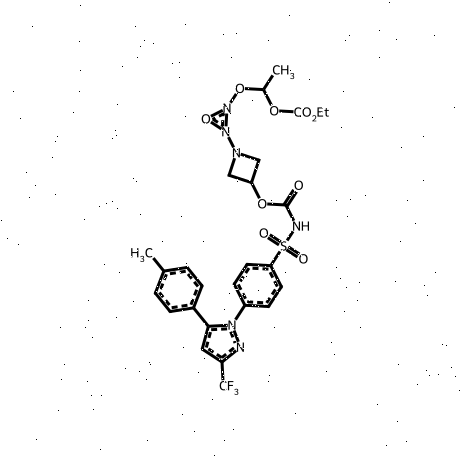 CCOC(=O)OC(C)On1on1N1CC(OC(=O)NS(=O)(=O)c2ccc(-n3nc(C(F)(F)F)cc3-c3ccc(C)cc3)cc2)C1